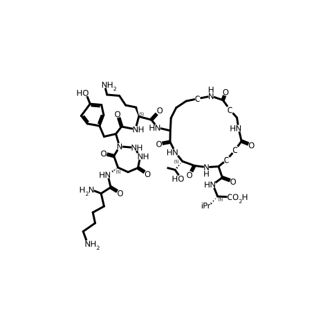 CC(C)[C@H](NC(=O)C1CCC(=O)NCCC(=O)NCCCCC(NC(=O)[C@H](CCCCN)NC(=O)C(Cc2ccc(O)cc2)N2NNC(=O)C[C@H](NC(=O)C(N)CCCCN)C2=O)C(=O)N[C@@H](C(C)O)C(=O)N1)C(=O)O